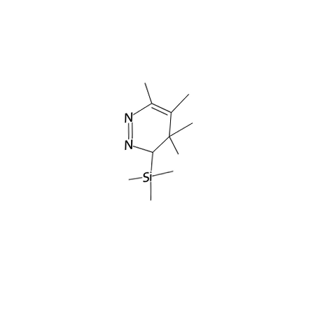 CC1=C(C)C(C)(C)C([Si](C)(C)C)N=N1